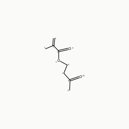 C=C(C)C(=O)OCCC(C)=O